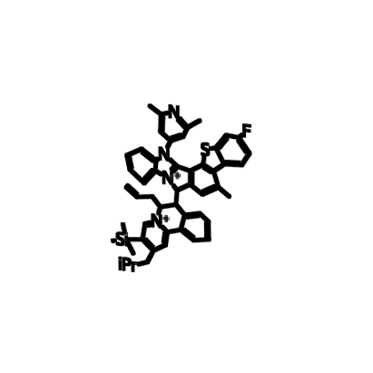 C=CCC1C(C2c3cc(C)c4c(sc5cc(F)ccc54)c3-c3n(-c4cc(C)nc(C)c4)c4ccccc4[n+]32)c2ccccc2-c2cc(CC(C)C)c([Si](C)(C)C)c[n+]21